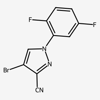 N#Cc1nn(-c2cc(F)ccc2F)cc1Br